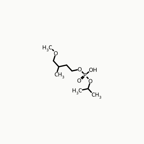 COCC(C)CCOP(=O)(O)OC(C)C